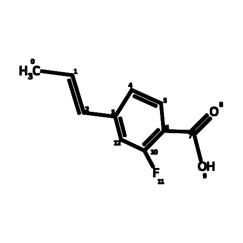 C/C=C/c1ccc(C(=O)O)c(F)c1